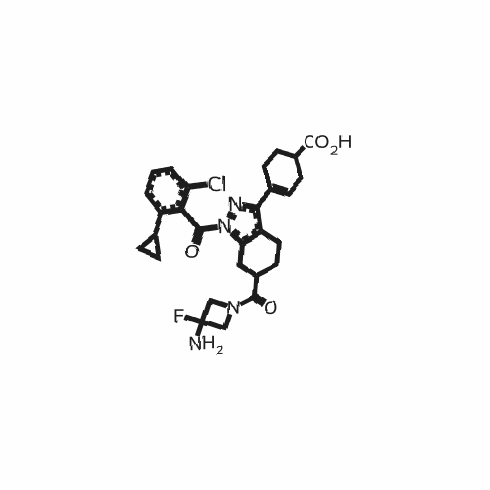 NC1(F)CN(C(=O)C2CCc3c(C4=CCC(C(=O)O)CC4)nn(C(=O)c4c(Cl)cccc4C4CC4)c3C2)C1